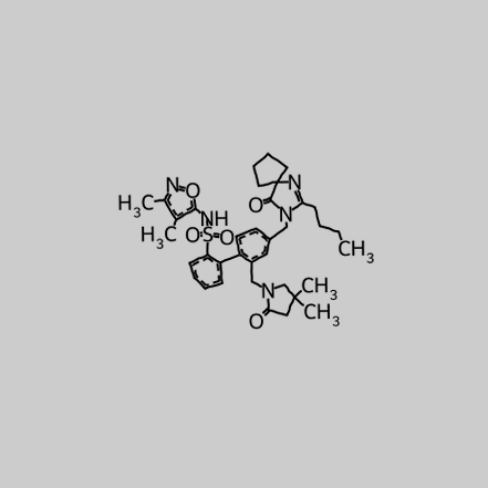 CCCCC1=NC2(CCCC2)C(=O)N1Cc1ccc(-c2ccccc2S(=O)(=O)Nc2onc(C)c2C)c(CN2CC(C)(C)CC2=O)c1